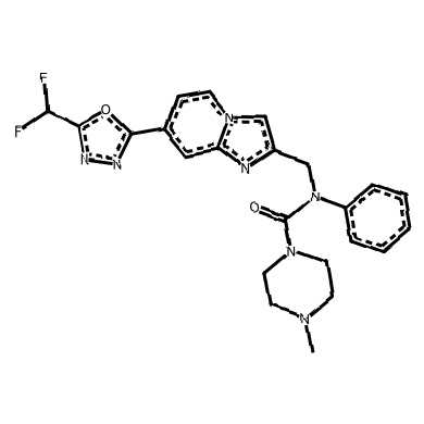 CN1CCN(C(=O)N(Cc2cn3ccc(-c4nnc(C(F)F)o4)cc3n2)c2ccccc2)CC1